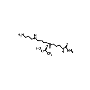 NCCCNCCCCNCCCNC(N)=O.O=C(OO)C(F)(F)F